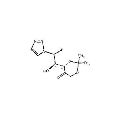 CC1(C)OCC(=O)[C@H]([C@@H](O)C(F)n2ccnn2)O1